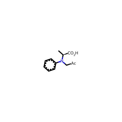 CC(=O)CN(c1ccccc1)[C@@H](C)C(=O)O